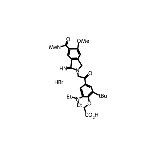 Br.CCN(CC)c1cc(C(=O)CN2Cc3cc(OC)c(C(=O)NC)cc3C2=N)cc(C(C)(C)C)c1OCC(=O)O